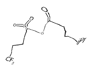 CC(C)CCC(=O)OS(=O)(=O)CCC(F)(F)F